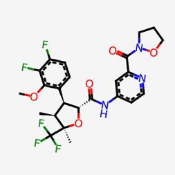 COc1c([C@H]2[C@H](C(=O)Nc3ccnc(C(=O)N4CCCO4)c3)O[C@@](C)(C(F)(F)F)[C@H]2C)ccc(F)c1F